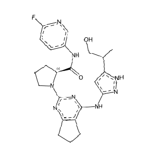 CC(CO)c1cc(Nc2nc(N3CCC[C@H]3C(=O)Nc3ccc(F)nc3)nc3c2CCC3)n[nH]1